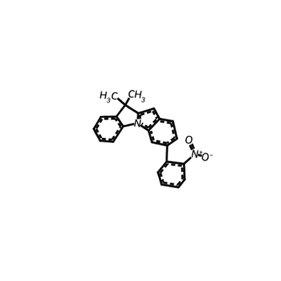 CC1(C)c2ccccc2-n2c1cc1ccc(-c3ccccc3[N+](=O)[O-])cc12